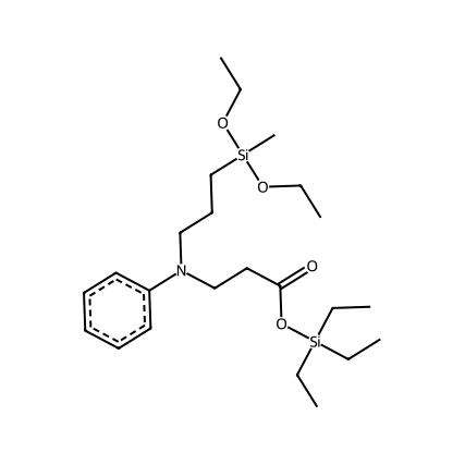 CCO[Si](C)(CCCN(CCC(=O)O[Si](CC)(CC)CC)c1ccccc1)OCC